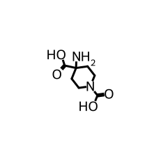 NC1(C(=O)O)CCN(C(=O)O)CC1